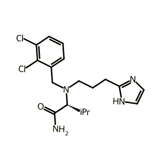 CC(C)[C@@H](C(N)=O)N(CCCc1ncc[nH]1)Cc1cccc(Cl)c1Cl